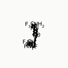 Nc1nc(-c2cc3ccn(CCCC(COC(F)F)Nc4cn[nH]c(=O)c4C(F)(F)F)c(=O)c3cc2F)ncc1C(F)(F)F